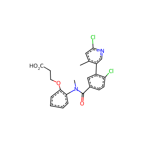 Cc1cc(Cl)ncc1-c1cc(C(=O)N(C)c2ccccc2OCCC(=O)O)ccc1Cl